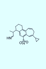 CC(C=N)C1CCCc2c1cc([SH](=O)=O)c1c2C=CCC(C2CC2)=C1